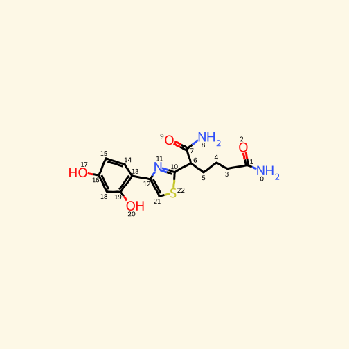 NC(=O)CCCC(C(N)=O)c1nc(-c2ccc(O)cc2O)cs1